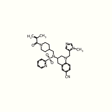 C=C(C)C(=O)N1CCC(CN(C2Cc3cc(C#N)ccc3N(Cc3cncn3C)C2)S(=O)(=O)c2ccccn2)CC1